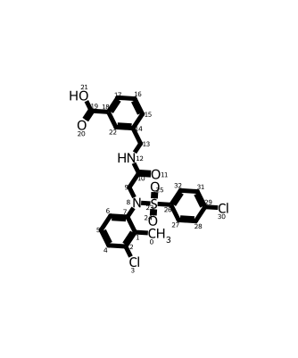 Cc1c(Cl)cccc1N(CC(=O)NCc1cccc(C(=O)O)c1)S(=O)(=O)c1ccc(Cl)cc1